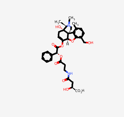 Cc1ccc(CO)c2c1[C@]13CCN(C)[C@H](C)[C@]1(O)CC=C(OC(=O)[C@H](OC(=O)CCNC(=O)C[C@H](O)C(=O)O)c1ccccc1)[C@@H]3O2